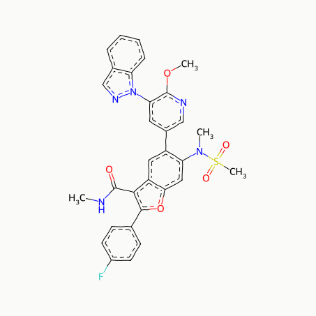 CNC(=O)c1c(-c2ccc(F)cc2)oc2cc(N(C)S(C)(=O)=O)c(-c3cnc(OC)c(-n4ncc5ccccc54)c3)cc12